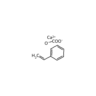 C=Cc1ccccc1.O=C([O-])[O-].[Ca+2]